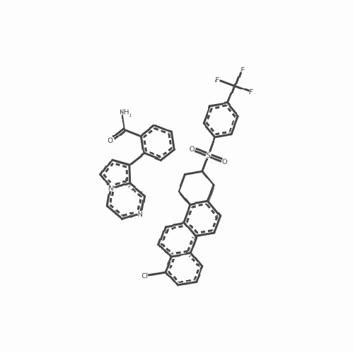 NC(=O)c1ccccc1-c1ccn2ccncc12.O=S(=O)(c1ccc(C(F)(F)F)cc1)C1CCc2c(ccc3c2ccc2c(Cl)cccc23)C1